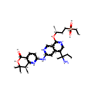 CCC(C)(N)c1cnc(O[C@H](C)CCS(=O)(=O)CC)c2cnc(Nc3ccc4c(n3)[C@@H](C)C(C)(C)OC4=O)cc12